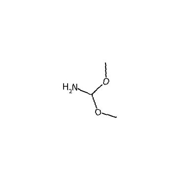 COC(N)OC